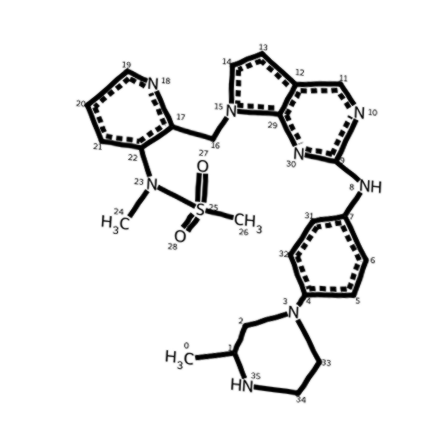 CC1CN(c2ccc(Nc3ncc4ccn(Cc5ncccc5N(C)S(C)(=O)=O)c4n3)cc2)CCN1